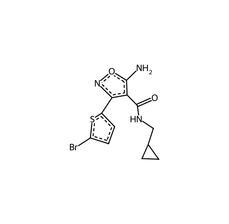 Nc1onc(-c2ccc(Br)s2)c1C(=O)NCC1CC1